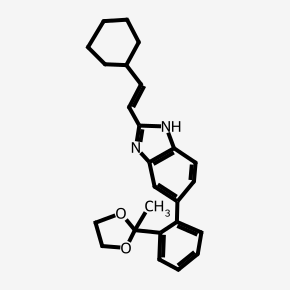 CC1(c2ccccc2-c2ccc3[nH]c(C=CC4CCCCC4)nc3c2)OCCO1